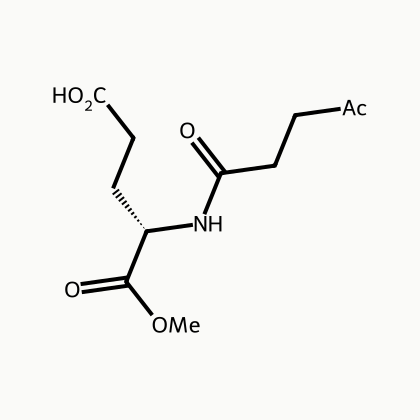 COC(=O)[C@H](CCC(=O)O)NC(=O)CCC(C)=O